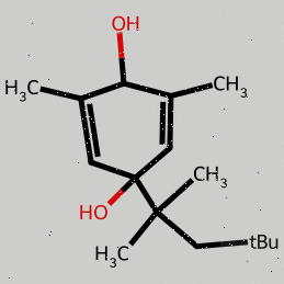 CC1=CC(O)(C(C)(C)CC(C)(C)C)C=C(C)C1O